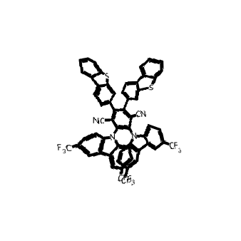 N#Cc1c(-c2ccc3c(c2)sc2ccccc23)c(-c2ccc3c(c2)sc2ccccc23)c(C#N)c(-n2c3ccc(C(F)(F)F)cc3c3cc(C(F)(F)F)ccc32)c1-n1c2ccc(C(F)(F)F)cc2c2cc(C(F)(F)F)ccc21